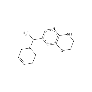 CC(c1cnc2c(c1)OCCN2)N1CC=CCC1